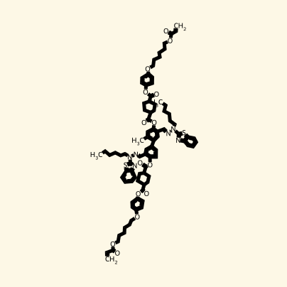 C=CC(=O)OCCCCCCOc1ccc(OC(=O)C2CCC(C(=O)Oc3ccc(-c4cc(/C=N/N(CCCCCC)c5nc6ccccc6s5)c(OC(=O)C5CCC(C(=O)Oc6ccc(OCCCCCCOC(=O)C=C)cc6)CC5)cc4C)cc3/C=N/N(CCCCCC)c3nc4ccccc4s3)CC2)cc1